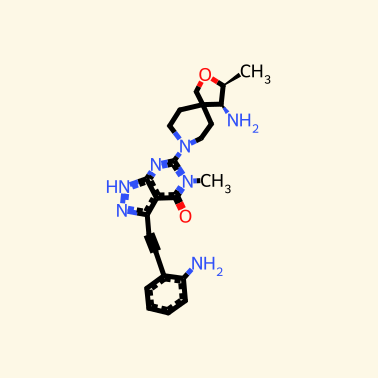 C[C@@H]1OCC2(CCN(c3nc4[nH]nc(C#Cc5ccccc5N)c4c(=O)n3C)CC2)[C@@H]1N